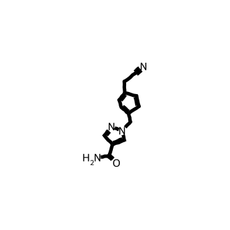 N#CCc1ccc(Cn2cc(C(N)=O)cn2)cc1